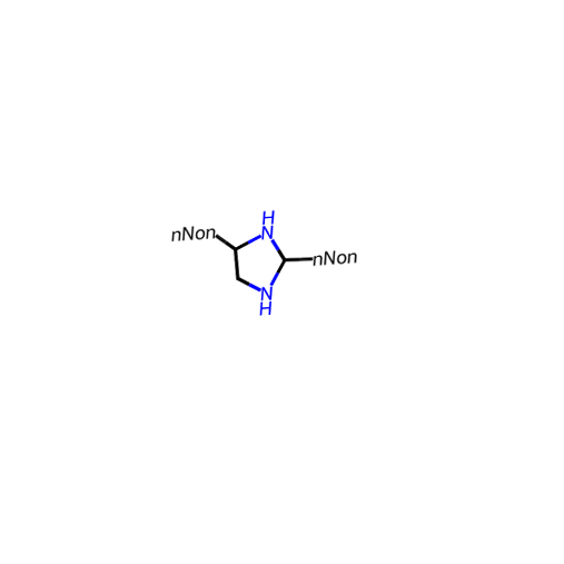 CCCCCCCCCC1CNC(CCCCCCCCC)N1